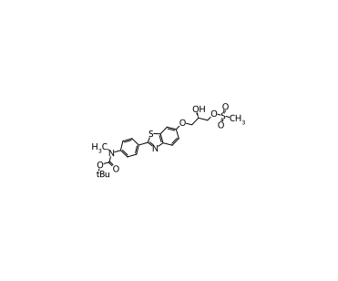 CN(C(=O)OC(C)(C)C)c1ccc(-c2nc3ccc(OC[C@@H](O)COS(C)(=O)=O)cc3s2)cc1